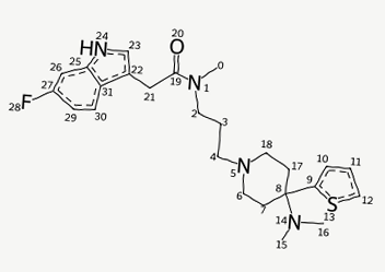 CN(CCCN1CCC(c2cccs2)(N(C)C)CC1)C(=O)Cc1c[nH]c2cc(F)ccc12